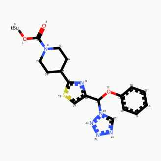 CC(C)(C)OC(=O)N1CCC(c2nc(C(Oc3ccccc3)n3cnnn3)cs2)CC1